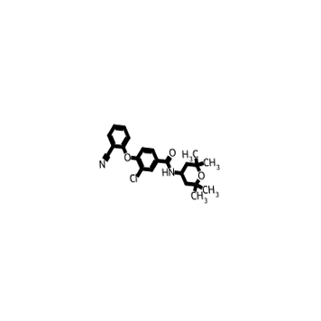 CC1(C)CC(NC(=O)c2ccc(Oc3ccccc3C#N)c(Cl)c2)CC(C)(C)O1